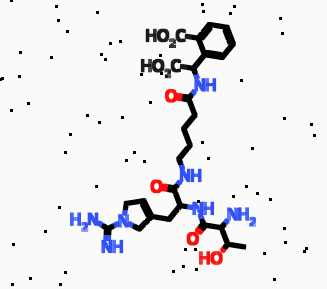 CC(O)C(N)C(=O)NC(CC1=CCN(C(=N)N)C1)C(=O)NCCCCC(=O)NC(C(=O)O)c1ccccc1C(=O)O